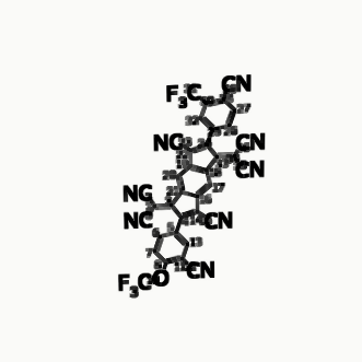 N#CC(C#N)=C1C(c2ccc(OC(F)(F)F)c(C#N)c2)=C(C#N)c2cc3c(cc21)C(C#N)=C(c1ccc(C#N)c(C(F)(F)F)c1)C3=C(C#N)C#N